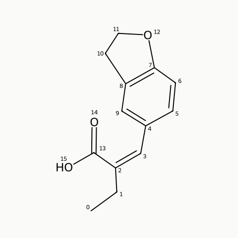 CCC(=Cc1ccc2c(c1)CCO2)C(=O)O